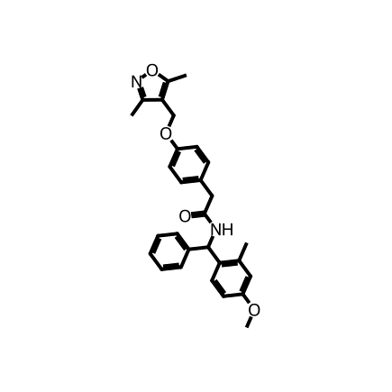 COc1ccc(C(NC(=O)Cc2ccc(OCc3c(C)noc3C)cc2)c2ccccc2)c(C)c1